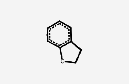 [c]1ccc2c(c1)OC[CH]2